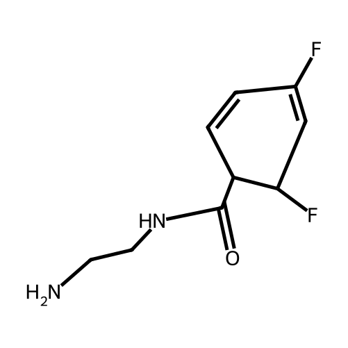 NCCNC(=O)C1C=CC(F)=CC1F